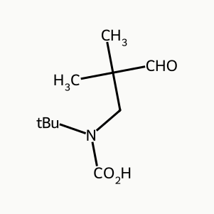 CC(C)(C=O)CN(C(=O)O)C(C)(C)C